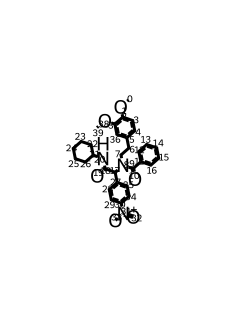 COc1ccc(CCN(C(=O)c2ccccc2)C(C(=O)NC2CCCCC2)c2ccc([N+](=O)[O-])cc2)cc1OC